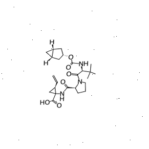 C=C[C@@H]1CC1(NC(=O)[C@@H]1CCCN1C(=O)[C@@H](NC(=O)O[C@@H]1C[C@@H]2C[C@@H]2C1)C(C)(C)C)C(=O)O